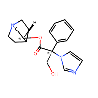 O=C(O[C@H]1CN2CCC1CC2)[C@@](CO)(c1ccccc1)n1ccnc1